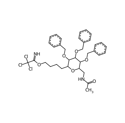 CC(=O)NCC1OC(CCCCOC(=N)C(Cl)(Cl)Cl)C(OCc2ccccc2)C(OCc2ccccc2)C1OCc1ccccc1